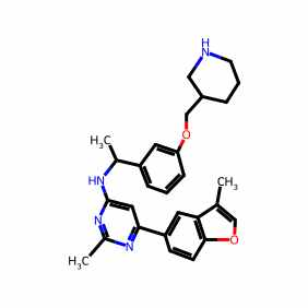 Cc1nc(NC(C)c2cccc(OCC3CCCNC3)c2)cc(-c2ccc3occ(C)c3c2)n1